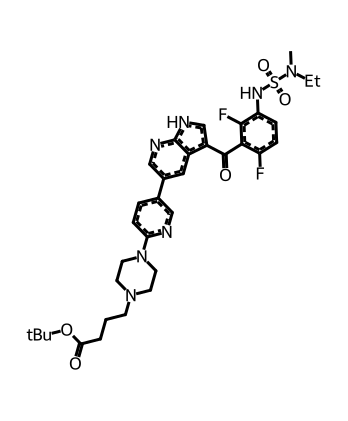 CCN(C)S(=O)(=O)Nc1ccc(F)c(C(=O)c2c[nH]c3ncc(-c4ccc(N5CCN(CCCC(=O)OC(C)(C)C)CC5)nc4)cc23)c1F